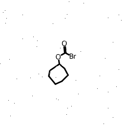 O=C(Br)OC1CCCCCC1